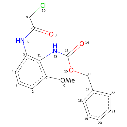 COc1cccc(NC(=O)CCl)c1NC(=O)OCc1ccccc1